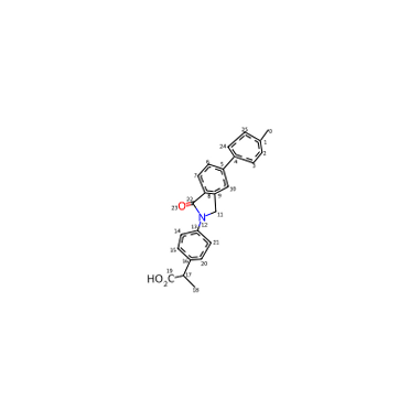 Cc1ccc(-c2ccc3c(c2)CN(c2ccc(C(C)C(=O)O)cc2)C3=O)cc1